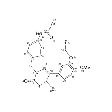 CCC1CC(=O)N(Cc2ccc(NC(=O)C(C)=O)cc2)N=C1c1ccc(OC)c(OCF)c1